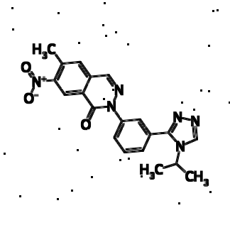 Cc1cc2cnn(-c3cccc(-c4nncn4C(C)C)c3)c(=O)c2cc1[N+](=O)[O-]